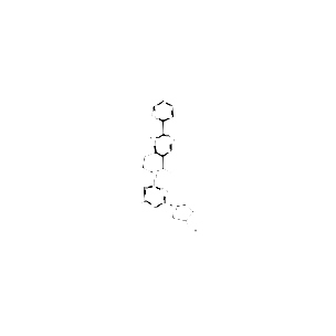 CC1c2cnc(-c3ccccn3)nc2CCN1c1cc(F)cc(N2CCC(O)C2)n1